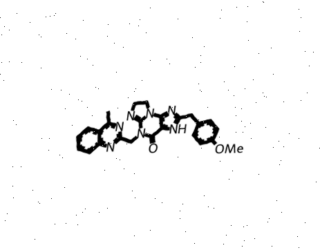 COc1ccc(Cc2nc3c([nH]2)C(=O)N(Cc2nc(C)c4ccccc4n2)C2=NCCN23)cc1